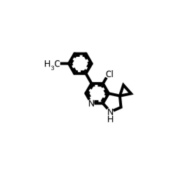 Cc1cccc(-c2cnc3c(c2Cl)C2(CC2)CN3)c1